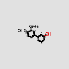 COc1cc(-c2cccc(O)c2)ccc1C=O